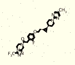 Cc1cnc(N2CCC([C@H]3C[C@H]3CCOc3ccc(CC(=O)N4CCn5c(nnc5C(F)(F)F)C4)c(F)c3)CC2)nc1